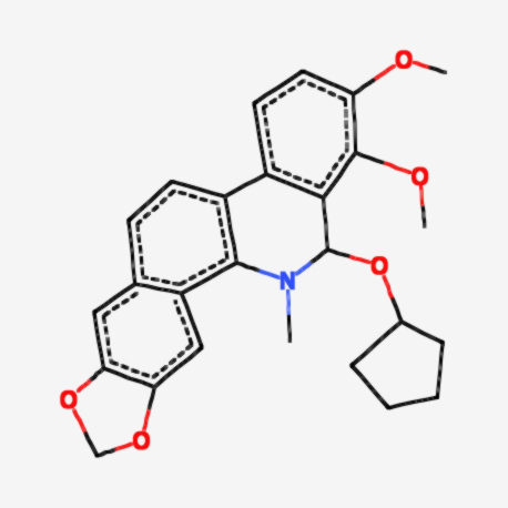 COc1ccc2c(c1OC)C(OC1CCCC1)N(C)c1c-2ccc2cc3c(cc12)OCO3